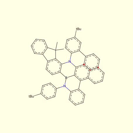 CC(C)(C)c1ccc(N2B3c4ccc5c(c4N(c4ccc(C(C)(C)C)cc4-c4ccccc4)c4cc6ccccc6c(c43)-c3ccccc32)C(C)(C)c2ccccc2-5)cc1